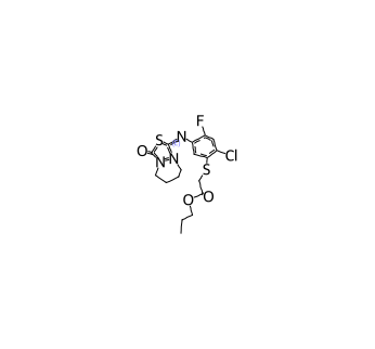 CCCOC(=O)CSc1cc(/N=c2/sc(=O)n3n2CCCC3)c(F)cc1Cl